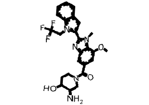 COc1cc(C(=O)N2CCC(O)C(N)C2)cc2nc(-c3cc4ccccc4n3CC(F)(F)F)n(C)c12